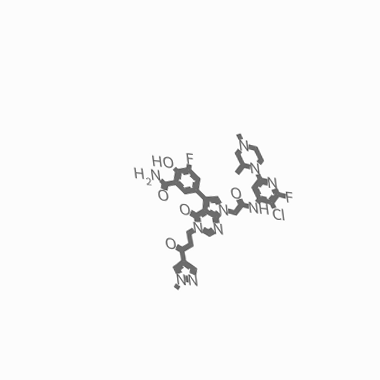 CC1CN(C)CCN1c1cc(NC(=O)Cn2cc(-c3cc(F)c(O)c(C(N)=O)c3)c3c(=O)n(CCC(=O)c4cnn(C)c4)cnc32)c(Cl)c(F)n1